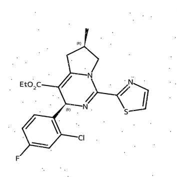 CCOC(=O)C1=C2C[C@@H](C)CN2C(c2nccs2)=N[C@H]1c1ccc(F)cc1Cl